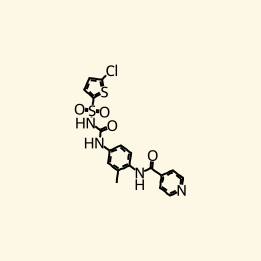 Cc1cc(NC(=O)NS(=O)(=O)c2ccc(Cl)s2)ccc1NC(=O)c1ccncc1